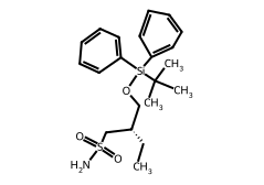 CC[C@@H](CO[Si](c1ccccc1)(c1ccccc1)C(C)(C)C)CS(N)(=O)=O